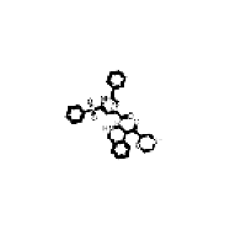 NC(=C[C@H](CCc1ccccc1)C(=O)[C@H]1NCc2ccccc2C1C(=O)C1CNCCO1)S(=O)(=O)c1ccccc1